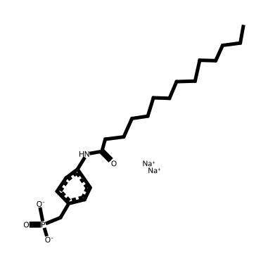 CCCCCCCCCCCCCC(=O)Nc1ccc(CP(=O)([O-])[O-])cc1.[Na+].[Na+]